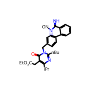 CCCCc1nc(C(C)C)c(CC(=O)OCC)c(=O)n1Cc1ccc(-c2ccccc2C(=N)NN=O)cc1